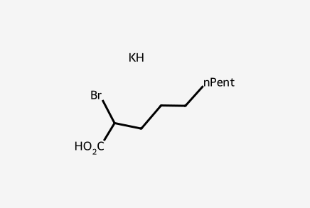 CCCCCCCCC(Br)C(=O)O.[KH]